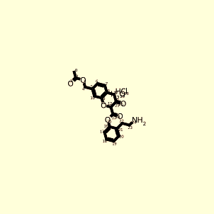 CC(=O)OCc1ccc2c(c1)OC(C(=O)Oc1ccccc1CCN)C(=O)C2.Cl.O